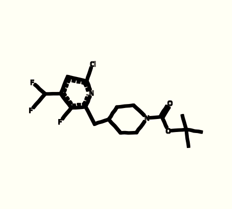 CC(C)(C)OC(=O)N1CCC(Cc2nc(Cl)cc(C(F)F)c2F)CC1